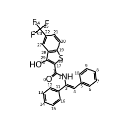 O=C(N/C(=C\c1ccccc1)c1ccccc1)c1sc2ccc(C(F)(F)F)cc2c1O